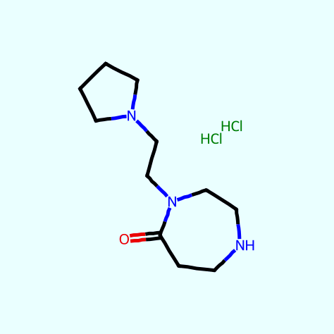 Cl.Cl.O=C1CCNCCN1CCN1CCCC1